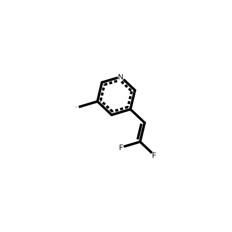 [CH2]c1cncc(C=C(F)F)c1